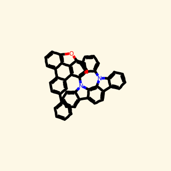 c1ccc(-c2ccc3c(c2)c2c(-n4c5ccccc5c5ccc6c7ccccc7n(-c7ccccc7)c6c54)ccc4oc5cccc3c5c42)cc1